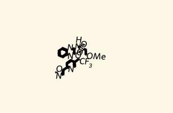 COCCS(=O)(=O)Nc1nc2ccccc2nc1O[C@@H](c1ccc(-c2cnco2)nc1)C(F)(F)F